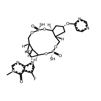 Cn1cnc2c(c(F)cn2[C@@H]2O[C@@H]3CO[P@](=O)(S)O[C@H]4C[C@H](Oc5ccncn5)C[C@@H]4CO[P@](=O)(S)O[C@@H]2[C@@H]3O)c1=O